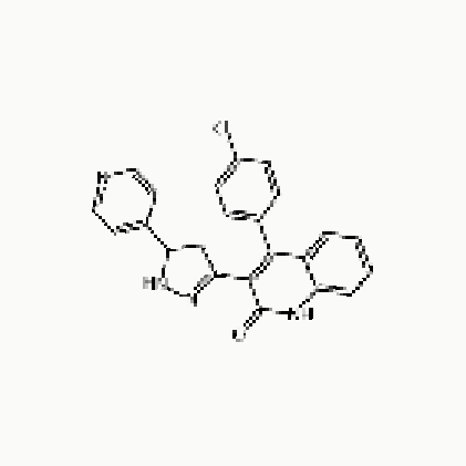 O=c1[nH]c2ccccc2c(-c2ccc(Cl)cc2)c1C1=NNC(c2ccncc2)C1